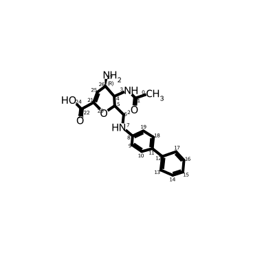 CC(=O)NC1C(CNc2ccc(-c3ccccc3)cc2)OC(C(=O)O)=C[C@H]1N